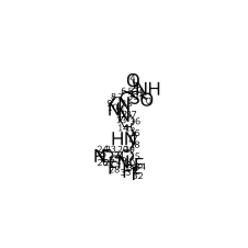 O=C1NC(=O)C(=Cc2ccnc(N3CCC(CNCc4cc(-c5ccncc5F)nc(C(F)(F)F)c4)CC3)n2)S1